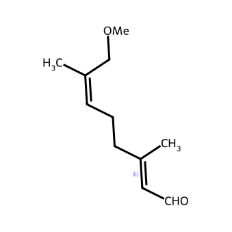 COCC(C)=CCC/C(C)=C/C=O